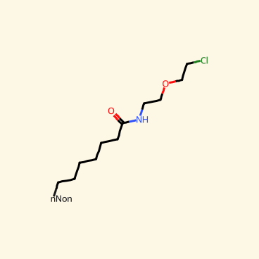 CCCCCCCCCCCCCCCC(=O)NCCOCCCl